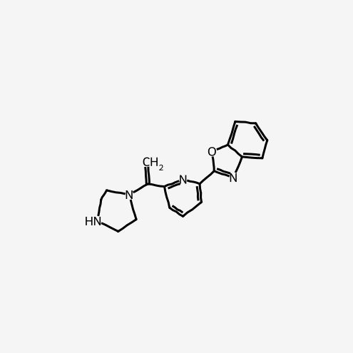 C=C(c1cccc(-c2nc3ccccc3o2)n1)N1CCNCC1